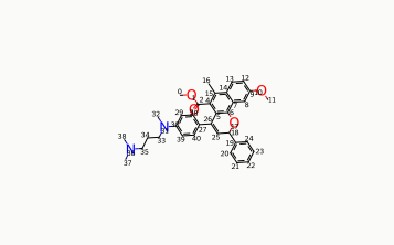 COC(=O)c1c2c(c3cc(OC)ccc3c1C)OC(c1ccccc1)C=C2c1ccc(N(C)CCCN(C)C)cc1